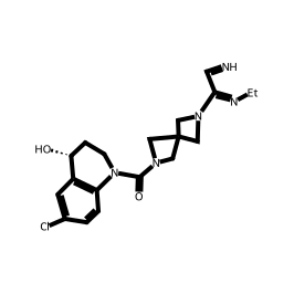 CC/N=C(\C=N)N1CC2(CN(C(=O)N3CC[C@@H](O)c4cc(Cl)ccc43)C2)C1